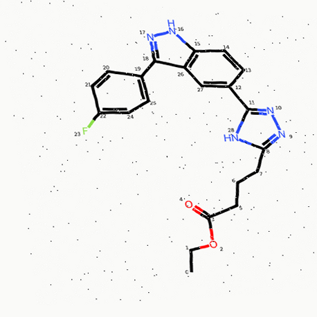 CCOC(=O)CCCc1nnc(-c2ccc3[nH]nc(-c4ccc(F)cc4)c3c2)[nH]1